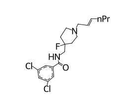 CCCC=CCN1CCC(F)(CNC(=O)c2cc(Cl)cc(Cl)c2)CC1